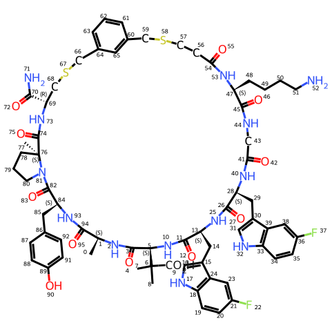 C[C@@H]1NC(=O)[C@H](C(C)(C)C(=O)O)NC(=O)[C@H](Cc2c[nH]c3ccc(F)cc23)NC(=O)[C@H](Cc2c[nH]c3ccc(F)cc23)NC(=O)CNC(=O)[C@H](CCCCN)NC(=O)CCSCc2cccc(c2)CSC[C@@H](C(N)=O)NC(=O)[C@]2(C)CCCN2C(=O)[C@H](Cc2ccc(O)cc2)NC1=O